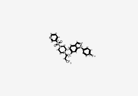 Cc1cc2c(cnn2-c2ccc(F)cc2)cc1[C@H]1CN(S(=O)(=O)c2cccnc2)CCN1CCC(F)(F)F